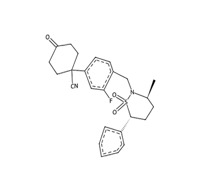 C[C@H]1CC[C@H](c2ccccc2)S(=O)(=O)N1Cc1ccc(C2(C#N)CCC(=O)CC2)cc1F